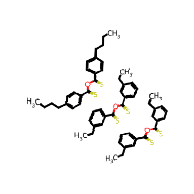 CCCCc1ccc(C(=S)OC(=S)c2ccc(CCCC)cc2)cc1.CCc1cccc(C(=S)OC(=S)c2cccc(CC)c2)c1.CCc1cccc(C(=S)OC(=S)c2cccc(CC)c2)c1